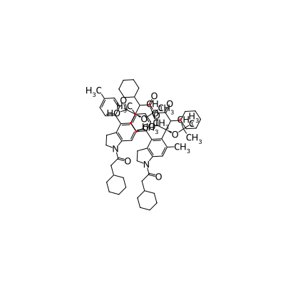 Cc1ccc(-c2c3c(cc(C)c2[C@](OC(C)(C)C)(C(=O)O)C(C(=O)OC(=O)C(C2CCCCC2)[C@@](OC(C)(C)C)(C(=O)O)c2c(C)cc4c(c2-c2ccc(C)cc2)CCN4C(=O)CC2CCCCC2)C2CCCCC2)N(C(=O)CC2CCCCC2)CC3)cc1